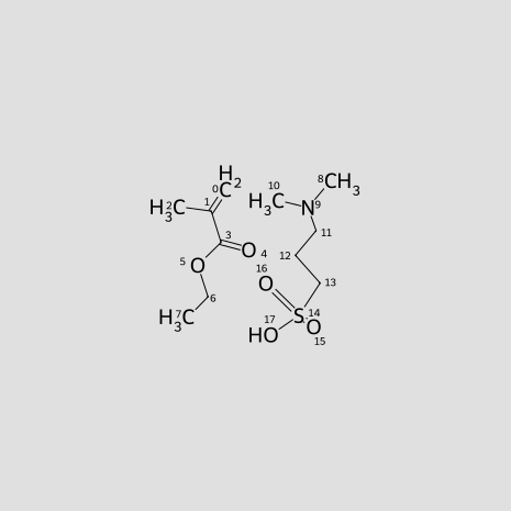 C=C(C)C(=O)OCC.CN(C)CCCS(=O)(=O)O